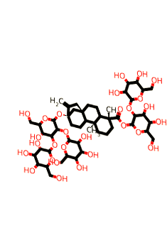 C=C1C[C@@]23CCC4[C@@](C)(CCC[C@@]4(C)C(=O)OC4OC(CO)C(O)C(O)C4OC4OC(CO)C(O)C(O)C4O)C2CC[C@]1(OC1OC(CO)C(O)C(OC2OC(CO)C(O)C(O)C2O)C1OC1OC(CO)C(O)C(O)C1O)C3